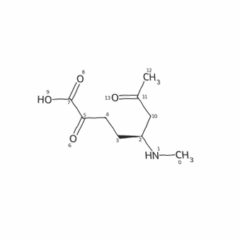 CN[C@@H](CCC(=O)C(=O)O)CC(C)=O